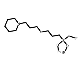 CCO[Si](CCCOC[CH]CN1CCCCC1)(OCC)OCC